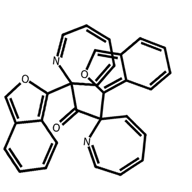 O=C(C1(c2occ3ccccc23)C=CC=CC=N1)C1(c2occ3ccccc23)C=CC=CC=N1